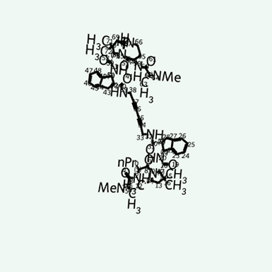 CCC[C@H](NC(=O)[C@H](C)NC)C(=O)N1[C@@H](C)CC(C)(C)[C@H]1C(=O)N[C@H]1c2ccccc2C[C@H]1C(=O)NCC#CC#CCNC(=O)[C@@H]1Cc2ccccc2[C@@H]1NC(=O)[C@H]1N2C(=O)[C@@H](NC(=O)[C@H](C)NC)CCN[C@H]2CC1(C)C